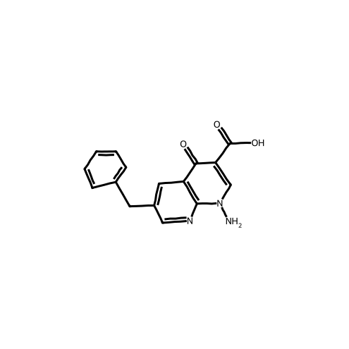 Nn1cc(C(=O)O)c(=O)c2cc(Cc3ccccc3)cnc21